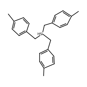 Cc1ccc(C[SiH](Cc2ccc(C)cc2)Cc2ccc(C)cc2)cc1